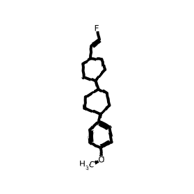 COc1ccc(C2CCC(C3CCC(/C=C/F)CC3)CC2)cc1